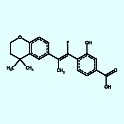 CC(=C(F)c1ccc(C(=O)O)cc1O)c1ccc2c(c1)C(C)(C)CCO2